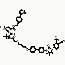 CC(C)(C)[C@H](NC(=O)COCCCCOc1ccc(-c2ccc(N3C(=O)N(c4ccc(C#N)c(C(F)(F)F)c4)C(=O)C3(C)C)cc2)cc1)C(=O)N1C[C@H](O)C[C@H]1C(=O)NCc1ccc(-c2ccn[nH]2)cc1